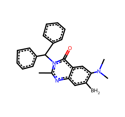 Bc1cc2nc(C)n(C(c3ccccc3)c3ccccc3)c(=O)c2cc1N(C)C